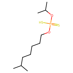 CC(C)CCCCCOP(=S)(S)OC(C)C